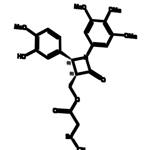 COc1ccc([C@H]2[C@@H](COC(=O)C[Se]C#N)C(=O)N2c2cc(OC)c(OC)c(OC)c2)cc1O